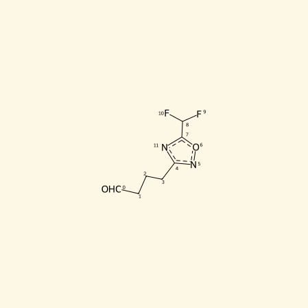 O=CCCCc1noc(C(F)F)n1